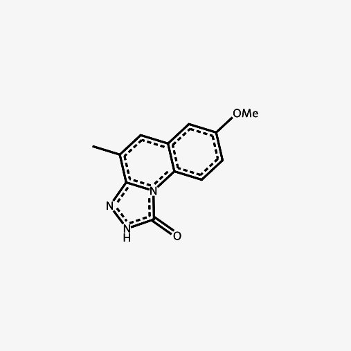 COc1ccc2c(c1)cc(C)c1n[nH]c(=O)n12